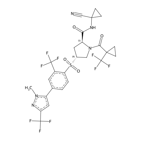 Cn1nc(C(F)(F)F)cc1-c1ccc(S(=O)(=O)[C@@H]2C[C@@H](C(=O)NC3(C#N)CC3)N(C(=O)C3(C(F)(F)F)CC3)C2)c(C(F)(F)F)c1